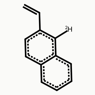 [2H]c1c(C=C)ccc2ccccc12